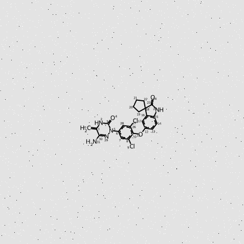 C=C1NC(=O)N(c2cc(Cl)c(Oc3ccc4c(c3)C3(CCCC3)C(=O)N4)c(Cl)c2)N=C1N